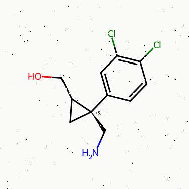 NC[C@@]1(c2ccc(Cl)c(Cl)c2)CC1CO